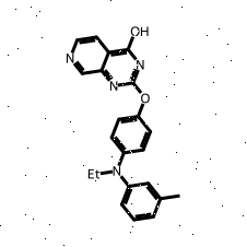 CCN(c1ccc(Oc2nc(O)c3ccncc3n2)cc1)c1cccc(C)c1